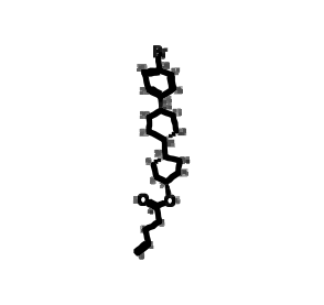 C=CCCC(=O)O[C@H]1CC[C@H]([C@H]2CC[C@H](c3ccc(Br)cc3)CC2)CC1